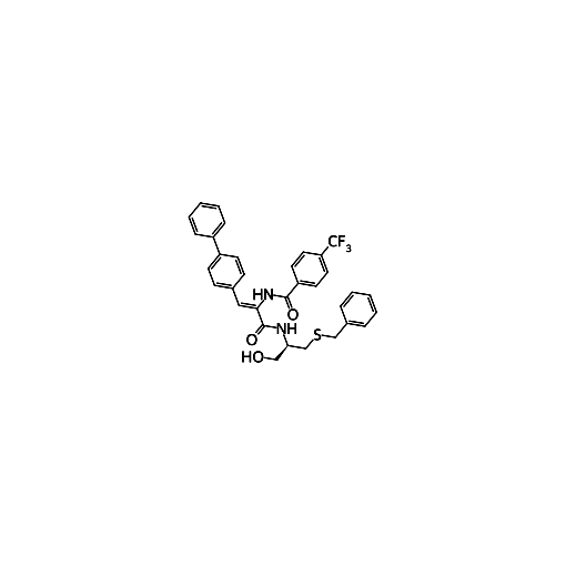 O=C(N[C@H](CO)CSCc1ccccc1)/C(=C/c1ccc(-c2ccccc2)cc1)NC(=O)c1ccc(C(F)(F)F)cc1